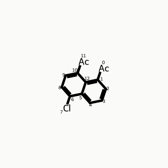 CC(=O)c1cccc2c(Cl)ccc(C(C)=O)c12